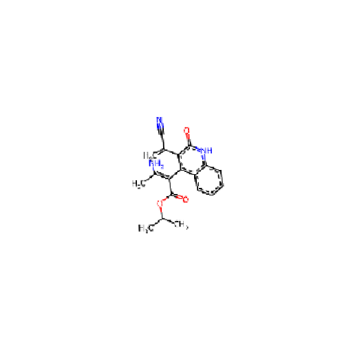 C=C(C#N)c1c(/C(C(=O)OC(C)C)=C(/C)N)c2ccccc2[nH]c1=O